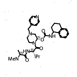 CN[C@@H](C)C(=O)N[C@H](C(=O)N1CCN(Cc2ccncc2)C[C@@H]1OC(=O)NC1CCCc2ccccc21)C(C)C